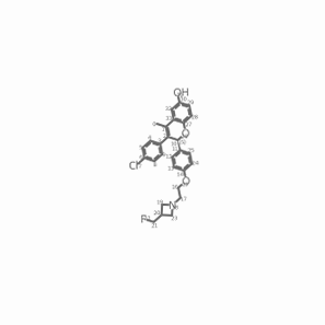 CC1=C(c2ccc(Cl)cc2)[C@H](c2ccc(OCCN3CC(CF)C3)cc2)Oc2ccc(O)cc21